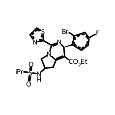 CCOC(=O)C1=C2CC(NS(=O)(=O)C(C)C)CN2C(c2nccs2)=N[C@H]1c1ccc(F)cc1Br